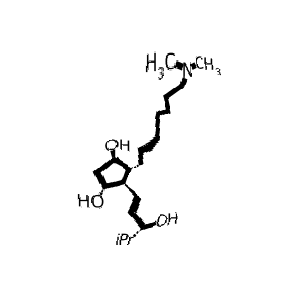 CC(C)[C@@H](O)/C=C/[C@@H]1[C@@H](CCCCCCCN(C)C)[C@H](O)C[C@H]1O